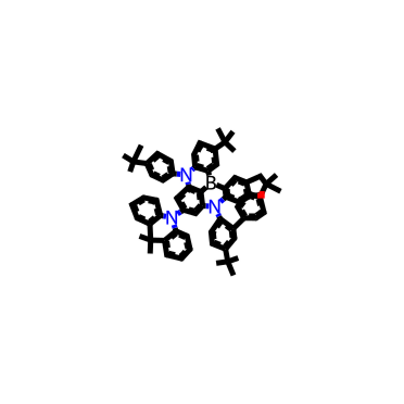 CC1(C)Cc2cc3c(cc2C1)N(c1ccc(C(C)(C)C)cc1-c1ccccc1)c1cc(N2c4ccccc4C(C)(C)c4ccccc42)cc2c1B3c1cc(C(C)(C)C)ccc1N2c1ccc(C(C)(C)C)cc1